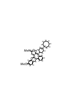 CNC(=O)CN1C(=O)N(Cc2ccc(OC)cc2)c2ccccc2N(C2CCN(C3CCCCCCC3)CC2)C1=O